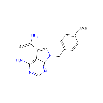 COc1ccc(Cn2cc(C(N)=[Se])c3c(N)ncnc32)cc1